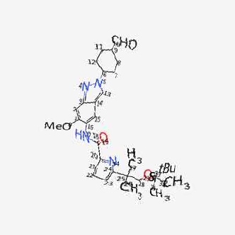 COc1cc2nn(C3CCC(C=O)CC3)cc2cc1NC(=O)c1cccc(C(C)(C)CO[Si](C)(C)C(C)(C)C)n1